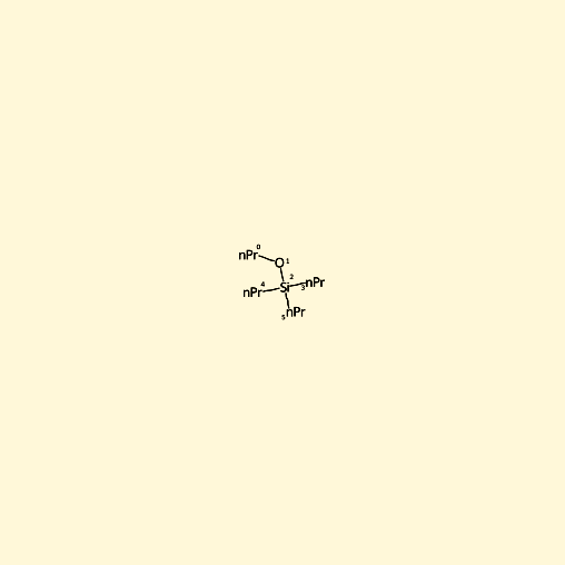 [CH2]CCO[Si](CCC)(CCC)CCC